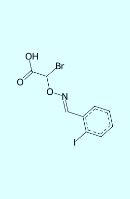 O=C(O)C(Br)ON=Cc1ccccc1I